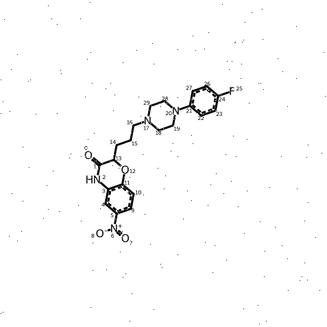 O=C1Nc2cc([N+](=O)[O-])ccc2OC1CCCN1CCN(c2ccc(F)cc2)CC1